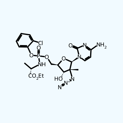 CCOC(=O)[C@H](C)NP(=O)(OC[C@H]1O[C@@H](n2ccc(N)nc2=O)[C@](C)(N=[N+]=[N-])[C@@H]1O)Oc1ccccc1Cl